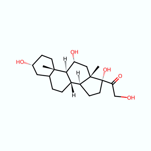 C[C@]12CC[C@@H](O)CC1CC[C@@H]1[C@@H]2[C@H](O)C[C@@]2(C)[C@H]1CC[C@]2(O)C(=O)CO